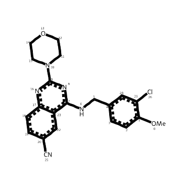 COc1ccc(CNc2nc(N3CCOCC3)nc3ccc(C#N)cc23)cc1Cl